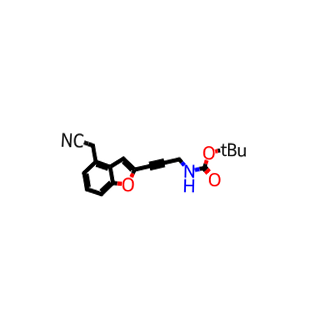 CC(C)(C)OC(=O)NCC#Cc1cc2c(CC#N)cccc2o1